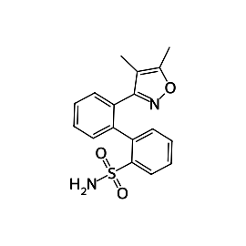 Cc1onc(-c2ccccc2-c2ccccc2S(N)(=O)=O)c1C